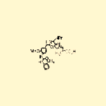 COc1cc(CC(=O)NC(CC(C)C)C2=NN(CC(C)C(=O)O)CC2)ccc1NC(=O)Nc1ccccc1C